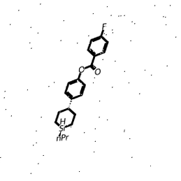 CCC[Si@H]1CC[C@H](c2ccc(OC(=O)c3ccc(F)cc3)cc2)CC1